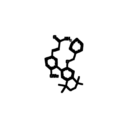 COc1ccc(C=CC(N)=O)cc1-c1cc2c(cc1OCc1ccccc1)C(C)(C)CCC2(C)C